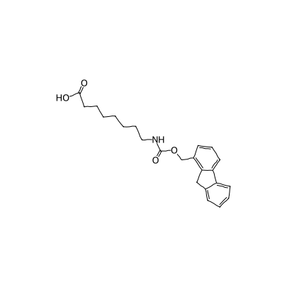 O=C(O)CCCCCCCNC(=O)OCc1cccc2c1Cc1ccccc1-2